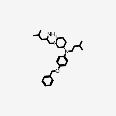 CC(C)CCN(c1ccc(OCc2ccccc2)cc1)[C@H]1CCCN(CC(N)CC(C)C)C1